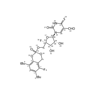 CC(C)(C)c1cc(C(C)(C)C)c2c(c1F)COP(=O)(OC[C@@]1(F)O[C@@H](n3cc(C=O)c(=S)[nH]c3=O)[C@H](O)[C@@H]1O)O2